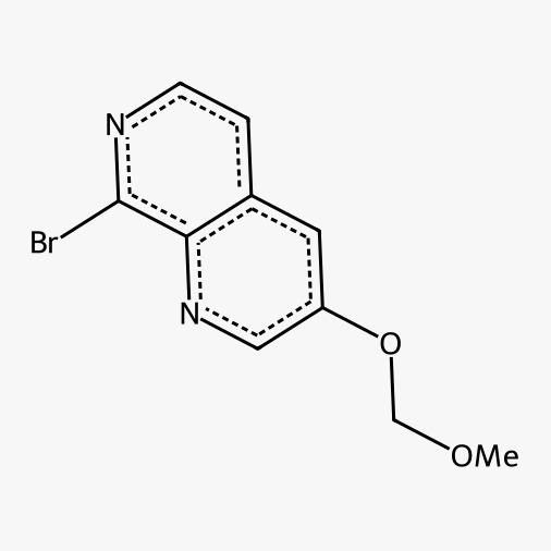 COCOc1cnc2c(Br)nccc2c1